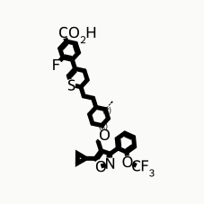 C[C@@H]1C[C@H](OCc2c(-c3ccccc3OC(F)(F)F)noc2C2CC2)CCC1CCC1CCC(c2ccc(C(=O)O)cc2F)=CS1